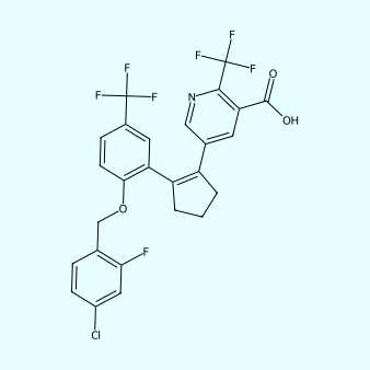 O=C(O)c1cc(C2=C(c3cc(C(F)(F)F)ccc3OCc3ccc(Cl)cc3F)CCC2)cnc1C(F)(F)F